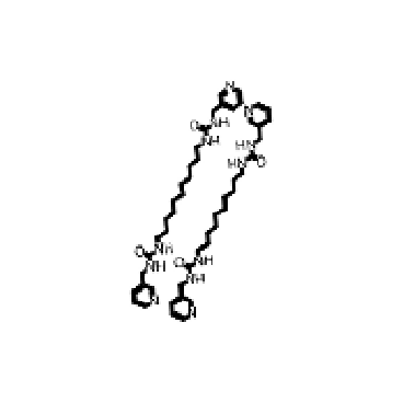 O=C(NCCCCCCCCCCCNC(=O)NCc1cccnc1)NCc1cccnc1.O=C(NCCCCCCCCCCNC(=O)NCc1cccnc1)NCc1cccnc1